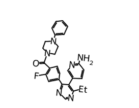 CCc1ncnc(-c2ccc(C(=O)N3CCN(c4ccccc4)CC3)c(F)c2)c1-c1ccc(N)nc1